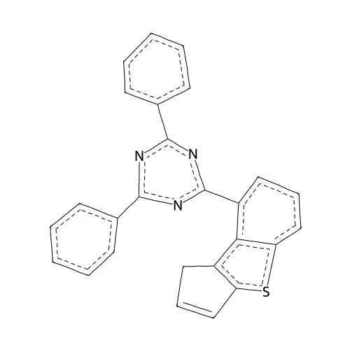 C1=Cc2sc3cccc(-c4nc(-c5ccccc5)nc(-c5ccccc5)n4)c3c2C1